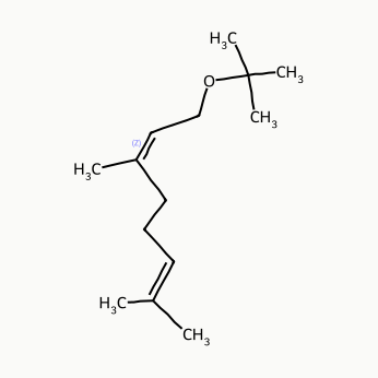 CC(C)=CCC/C(C)=C\COC(C)(C)C